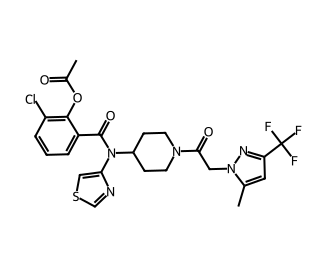 CC(=O)Oc1c(Cl)cccc1C(=O)N(c1cscn1)C1CCN(C(=O)Cn2nc(C(F)(F)F)cc2C)CC1